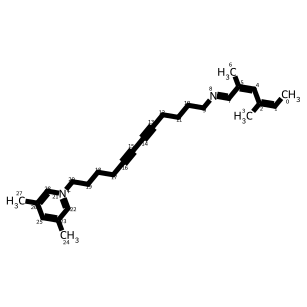 C\C=C(C)/C=C(C)\C=N\CCCCC#CC#CCCCC[n+]1cc(C)cc(C)c1